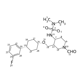 CN(C)S(=O)(=O)NC1CCN(C=O)CC1CO[C@H]1CC[C@@H](c2cccc(F)c2)CC1